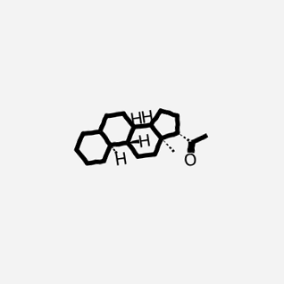 CC(=O)[C@H]1CC[C@H]2[C@@H]3CCC4CCCC[C@@H]4[C@H]3CC[C@]12C